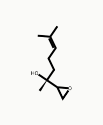 CC(C)=CCC[C@@](C)(O)C1CO1